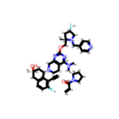 C#Cc1c(F)ccc2c1[C@@H](N1CCc3c(nc(OC[C@]4(C)C[C@@H](F)CN4Cc4ccncc4)nc3N(C)C[C@@H]3CCCN3C(=O)C=C)C1)C[C@](C)(O)C2